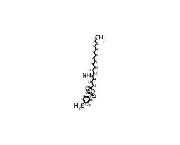 CCCCCCCCCCCCCCCCCC(=O)OS(=O)(=O)c1ccc(C)cc1.N